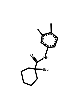 Cc1ccc(NC(=O)C2(C(C)(C)C)CCCCC2)cc1C